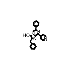 Oc1c(Cc2ccccc2)nc2c(-c3ccncc3)nc(-c3ccccc3)cn12